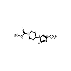 CC(C)(C)OC(=O)N1CCC(n2cc(C(=O)O)nn2)CC1